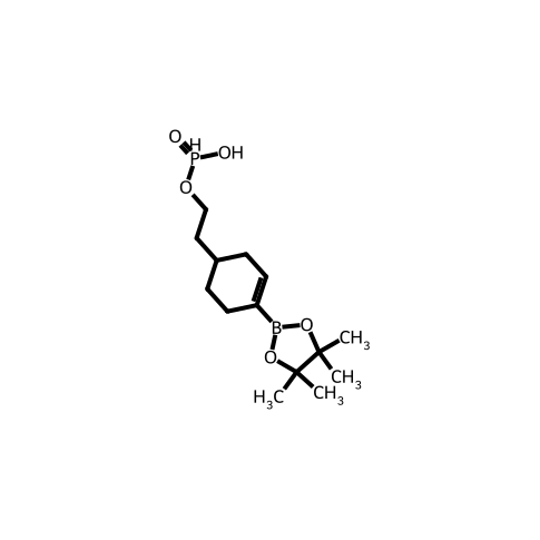 CC1(C)OB(C2=CCC(CCO[PH](=O)O)CC2)OC1(C)C